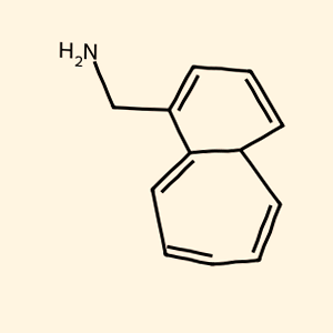 NCC1=CC=CC2C=CC=CC=C12